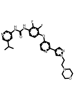 CC(C)c1cncc(NC(=O)Nc2ccc(Oc3ccnc(-c4cnn(CCN5CCOCC5)c4)c3)c(F)c2F)c1